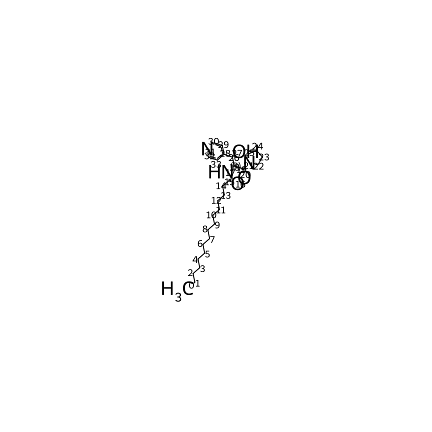 CCCCCCCCCCCCCCCC(=O)N[C@@H](C(=O)N1CCCC1)C(O)c1ccncc1